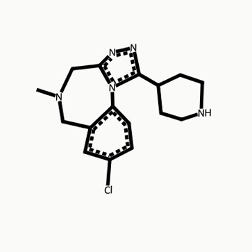 CN1Cc2cc(Cl)ccc2-n2c(nnc2C2CCNCC2)C1